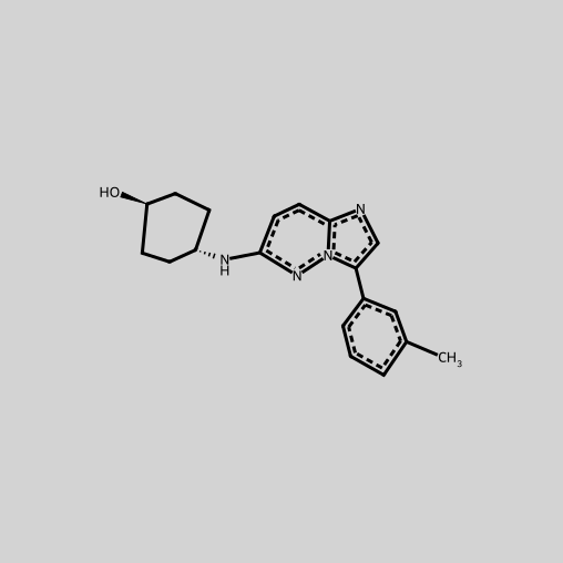 Cc1cccc(-c2cnc3ccc(N[C@H]4CC[C@H](O)CC4)nn23)c1